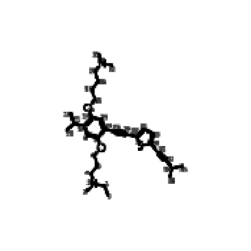 CCN(C)CCCOc1cc(C(C)C)c(OCCCCN(C)C)cc1C#Cc1ccc(C#CC(C)C)s1